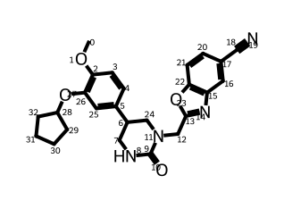 COc1ccc(C2CNC(=O)N(Cc3nc4cc(C#N)ccc4o3)C2)cc1OC1CCCC1